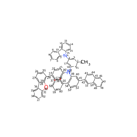 CC1C=C(n2c3ccccc3c3ccccc32)C=C(N(c2ccc(-c3cccc4c3oc3ccccc34)cc2)c2cc(-c3ccc4ccccc4c3)ccc2-c2ccccc2)C1